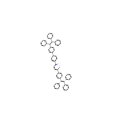 c1ccc(C(=C(c2ccccc2)c2ccc(-c3ccc(-c4ccc(-c5ccc(C(=C(c6ccccc6)c6ccccc6)c6ccccc6)cc5)cn4)cc3)cc2)c2ccccc2)cc1